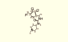 CC(NC(=O)N(C)C1CCN(C)CC1)c1ccc(CF)c(Cl)c1Cl